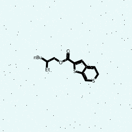 CCCCC(CC)COC(=O)c1cc2c(s1)=CSCC=2